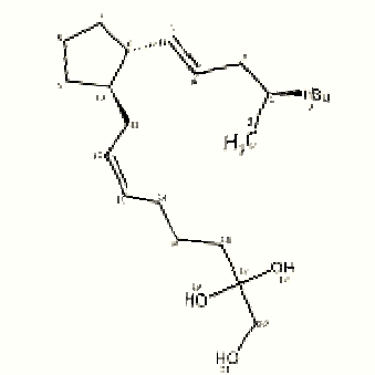 CCCC[C@@H](C)C/C=C/[C@H]1CCC[C@@H]1C/C=C\CCCC(O)(O)CO